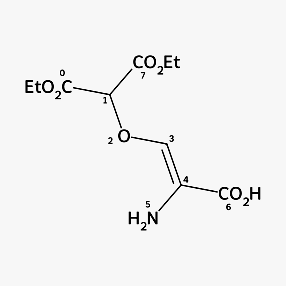 CCOC(=O)C(O/C=C(\N)C(=O)O)C(=O)OCC